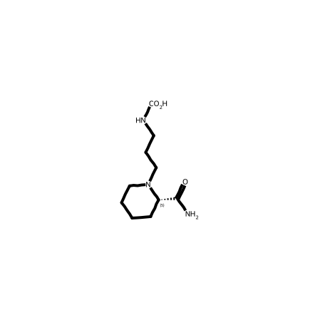 NC(=O)[C@@H]1CCCCN1CCCNC(=O)O